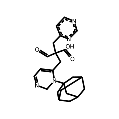 O=CC(CC1=CC=NCN1C12CC3CC(CC(C3)C1)C2)(Cc1ccncn1)C(=O)O